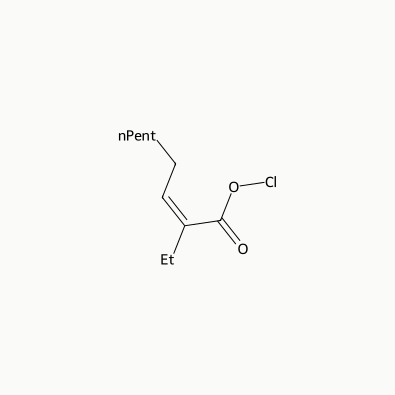 CCCCCCC=C(CC)C(=O)OCl